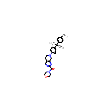 Cc1ccc(C(C)(C)c2ccc(N3CCc4cnc(C(=O)N5CCOCC5)nc4C3)cc2)cc1